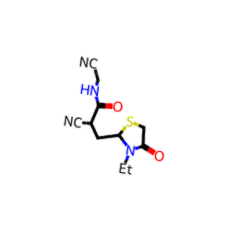 CCN1C(=O)CSC1CC(C#N)C(=O)NCC#N